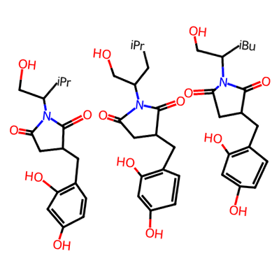 CC(C)C(CO)N1C(=O)CC(Cc2ccc(O)cc2O)C1=O.CC(C)CC(CO)N1C(=O)CC(Cc2ccc(O)cc2O)C1=O.CCC(C)C(CO)N1C(=O)CC(Cc2ccc(O)cc2O)C1=O